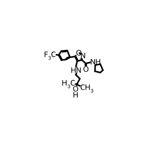 CC(C)(O)CCNCc1c(C(=O)NC2CCCC2)noc1-c1ccc(C(F)(F)F)cc1